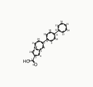 O=C(O)c1cc2cc(-c3ccc(-c4ccccc4)cc3)ccn2c1